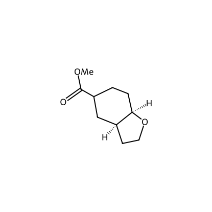 COC(=O)C1CC[C@H]2OCC[C@H]2C1